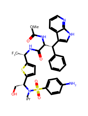 COC(=O)NC(C(=O)N[C@H](c1ccc([C@@H](CO)N(C(C)C)S(=O)(=O)c2ccc(N)cc2)s1)C(F)(F)F)[C@@H](c1ccccc1)c1c[nH]c2ncccc12